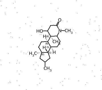 CC1C[C@H]2[C@@H]3CCC4N(C)C(=O)CC(O)[C@]4(C)[C@@H]3CC[C@]2(C)C1